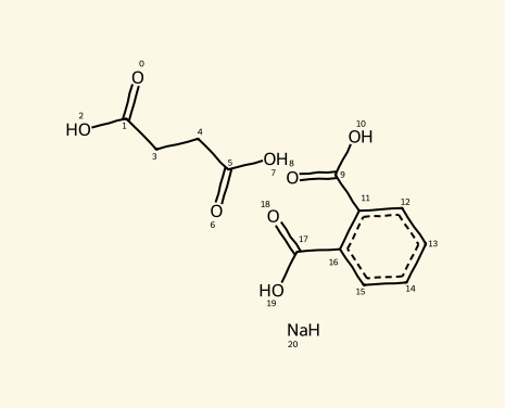 O=C(O)CCC(=O)O.O=C(O)c1ccccc1C(=O)O.[NaH]